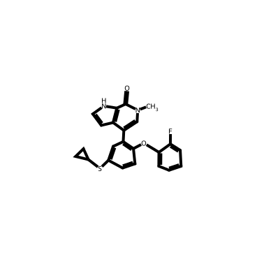 Cn1cc(-c2cc(SC3CC3)ccc2Oc2ccccc2F)c2cc[nH]c2c1=O